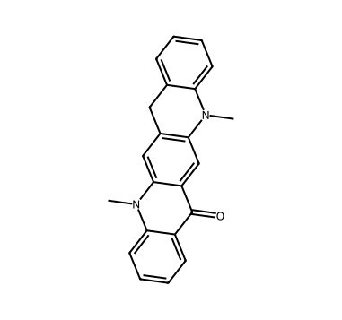 CN1c2ccccc2Cc2cc3c(cc21)c(=O)c1ccccc1n3C